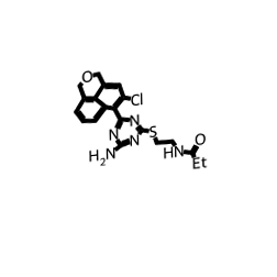 CCC(=O)NCCSc1nc(N)nc(-c2c(Cl)cc3c4c(cccc24)COC3)n1